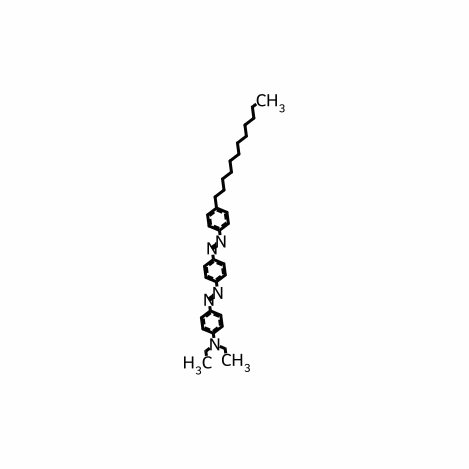 CCCCCCCCCCCCc1ccc(N=Nc2ccc(N=Nc3ccc(N(CC)CC)cc3)cc2)cc1